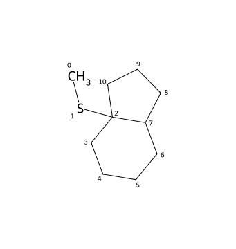 CSC12CCCCC1CCC2